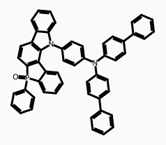 O=P1(c2ccccc2)c2ccccc2-c2c1ccc1c3ccccc3n(-c3ccc(N(c4ccc(-c5ccccc5)cc4)c4ccc(-c5ccccc5)cc4)cc3)c21